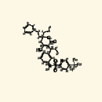 CCCC1(CCc2ccccc2)CC(O)=C(C(CC)c2cccc(N(C)S(=O)(=O)c3ccc(C(F)(F)F)cn3)c2)C(=O)O1